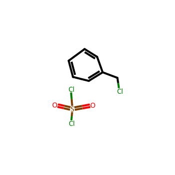 ClCc1ccccc1.O=S(=O)(Cl)Cl